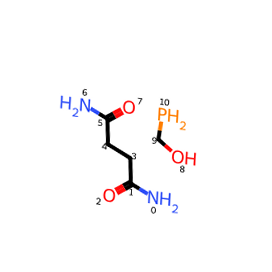 NC(=O)CCC(N)=O.OCP